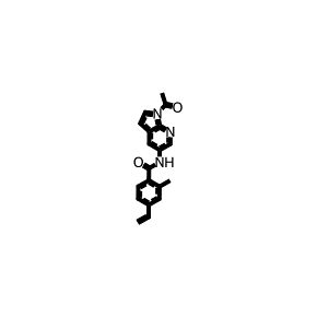 C=Cc1ccc(C(=O)Nc2cnc3c(ccn3C(C)=O)c2)c(C)c1